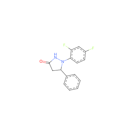 O=C1CC(c2ccccc2)N(c2ccc(F)cc2F)N1